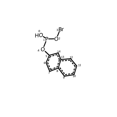 OP(OBr)Oc1ccc2ccccc2c1